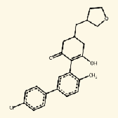 Cc1ccc(-c2ccc(Cl)cc2)cc1C1=C(O)CC(CC2CCOC2)CC1=O